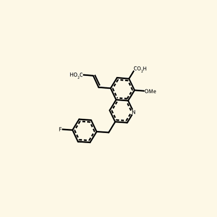 COc1c(C(=O)O)cc(/C=C/C(=O)O)c2cc(Cc3ccc(F)cc3)cnc12